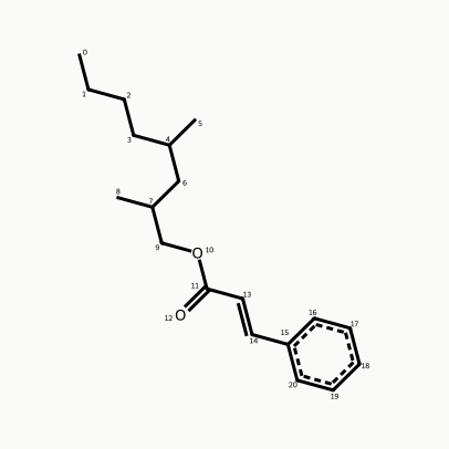 CCCCC(C)CC(C)COC(=O)C=Cc1ccccc1